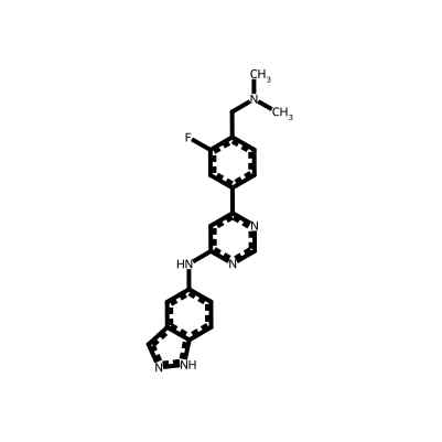 CN(C)Cc1ccc(-c2cc(Nc3ccc4[nH]ncc4c3)ncn2)cc1F